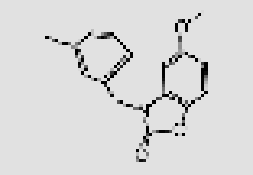 COc1ccc2oc(=O)n(Cc3cccc(C)c3)c2c1